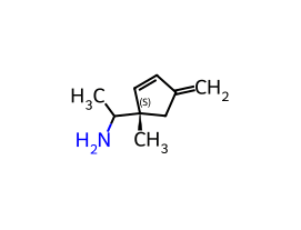 C=C1C=C[C@@](C)(C(C)N)C1